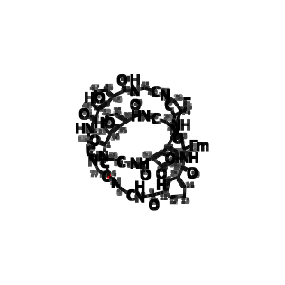 O=C1NCCN2CCNC(=O)c3cccc(c3O)C(=O)N[CH]([Fm])CN(CCNC(=O)c3cccc1c3O)CCN1CCNC(=O)c3cccc(c3O)C(=O)NCCN(CCNC(=O)c3cccc(c3O)C(=O)NC(CF)C1)CC2